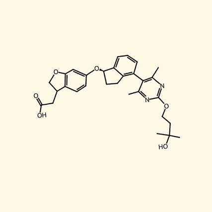 Cc1nc(OCCC(C)(C)O)nc(C)c1-c1cccc2c1CC[C@H]2Oc1ccc2c(c1)OCC2CC(=O)O